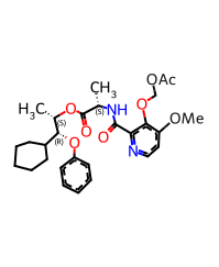 COc1ccnc(C(=O)N[C@@H](C)C(=O)O[C@@H](C)[C@H](Oc2ccccc2)C2CCCCC2)c1OCOC(C)=O